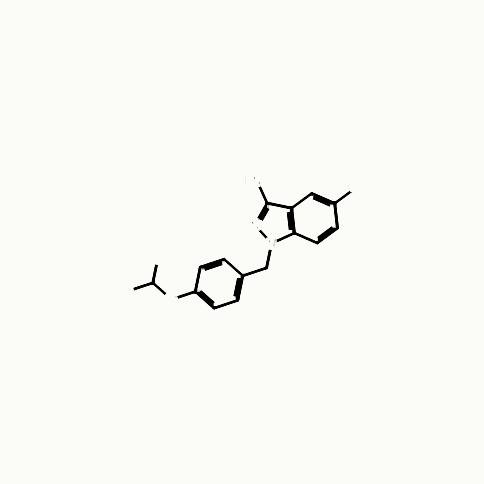 Nc1nn(Cc2ccc(OC(F)F)cc2)c2ccc(F)cc12